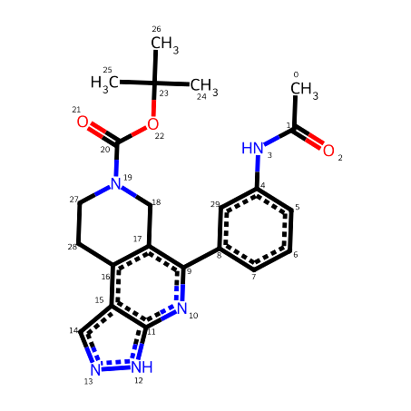 CC(=O)Nc1cccc(-c2nc3[nH]ncc3c3c2CN(C(=O)OC(C)(C)C)CC3)c1